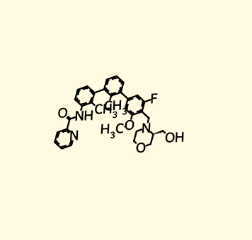 COc1cc(-c2cccc(-c3cccc(NC(=O)c4ccccn4)c3C)c2C)cc(F)c1CN1CCOC[C@@H]1CO